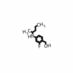 CCCC(C)Nc1ccc(CO)c(F)c1